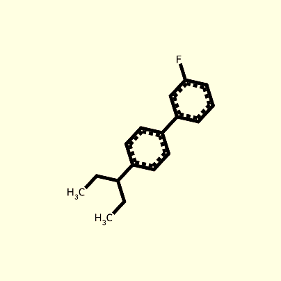 CCC(CC)c1ccc(-c2cccc(F)c2)cc1